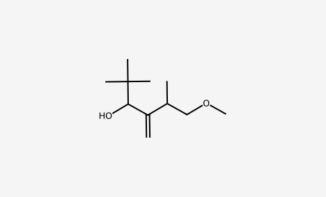 C=C(C(C)COC)C(O)C(C)(C)C